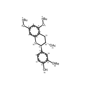 CCCCOc1cc(OCCCC)c2c(c1)O[C@H](c1ccc(O)c(OC)c1)[C@@H](OC(C)=O)C2